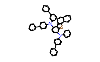 c1ccc(-c2ccc(N(c3ccccc3)c3ccc(N(c4ccc(-c5ccccc5)cc4)c4cccc(-c5ccccc5)c4)c4c3sc3c5ccccc5ccc34)cc2)cc1